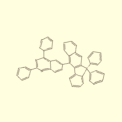 c1ccc(-c2nc(-c3ccccc3)c3cc(-c4c5c(cc6ccccc46)C(c4ccccc4)(c4ccccc4)c4ccccc4-5)ccc3n2)cc1